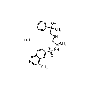 Cc1cncc2ccc(S(=O)(=O)N[C@H](C)CNCC(C)(O)c3ccccc3)cc12.Cl